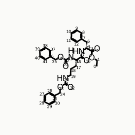 CCOC(=O)[C@H](Cc1ccccc1)NC(=O)[C@@H](CCCNC(=O)OCc1ccccc1)NC(=O)OCc1ccccc1